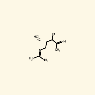 CCC(CCN=C(N)N)C(C)=N.Cl.Cl